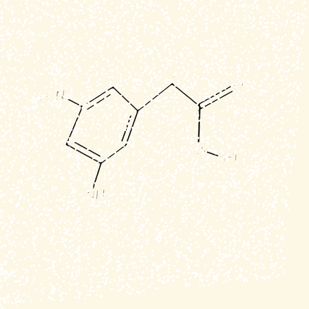 CCCOC(=O)Cc1cc(N)cc(N)c1